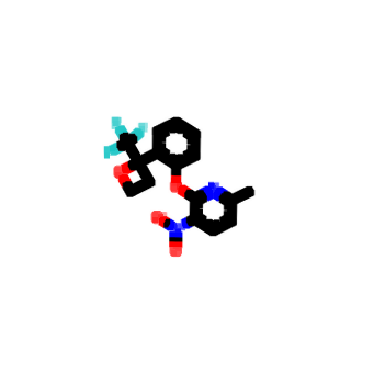 Cc1ccc([N+](=O)[O-])c(Oc2ccccc2C2(C(F)(F)F)CCO2)n1